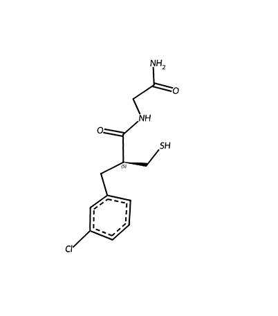 NC(=O)CNC(=O)[C@@H](CS)Cc1cccc(Cl)c1